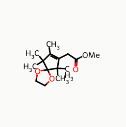 COC(=O)CC1=C(C)C(C)(C)C2(OCCO2)C1(C)C